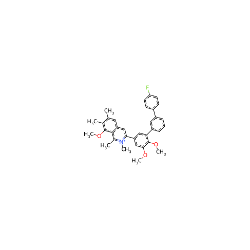 COc1cc(-c2cc3cc(C)c(C)c(OC)c3c(C)[n+]2C)cc(-c2cccc(-c3ccc(F)cc3)c2)c1OC